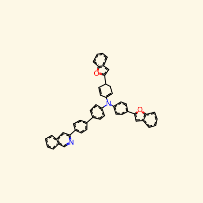 C1=CC(c2cc3ccccc3o2)CC=C1N(c1ccc(-c2ccc(-c3cc4ccccc4cn3)cc2)cc1)c1ccc(-c2cc3ccccc3o2)cc1